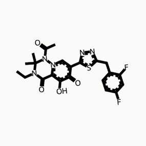 CCN1C(=O)c2c(O)c(=O)c(-c3nnc(Cc4ccc(F)cc4F)s3)cn2N(C(C)=O)C1(C)C